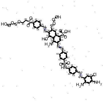 Nc1cc(N)c(/N=N/c2ccc(NS(=O)(=O)c3ccc(/N=N/c4cc(S(=O)(=O)O)c5cc(SOOO)c(/N=N/c6ccc(S(=O)(=O)CCOSOOO)cc6)c(O)c5c4N)cc3)cc2)cc1Cl